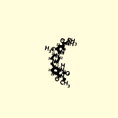 CCn1c(=O)[nH]c2cc(CN3CCN(c4ncc(C(=O)NC)cc4C)CC3)ccc2c1=O